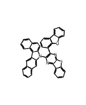 c1ccc2cc3c(cc2c1)c1c2ccccc2ccc1n3-c1nc2c(nc1-c1cccc3c1oc1ccccc13)sc1ccccc12